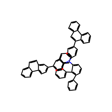 c1ccc(-c2ccccc2-c2c(-c3ccccc3)cccc2N(c2ccc(-c3ccc4c(ccc5ccccc54)c3)cc2)c2ccc(-c3cc4ccccc4c4ccccc34)cc2)cc1